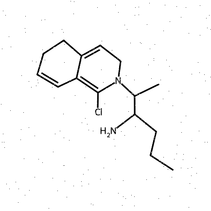 CCCC(N)C(C)N1CC=C2CCC=CC2=C1Cl